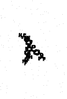 Cn1cc2cc(-n3nc4ccc(NCC(F)(F)F)nc4c(-c4ccc(OC(F)F)cc4)c3=O)ccc2n1